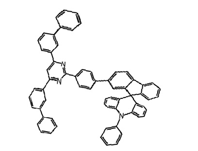 c1ccc(-c2cccc(-c3cc(-c4cccc(-c5ccccc5)c4)nc(-c4ccc(-c5ccc6c(c5)C5(c7ccccc7-6)c6ccccc6N(c6ccccc6)c6ccccc65)cc4)n3)c2)cc1